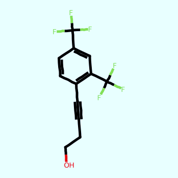 OCCC#Cc1ccc(C(F)(F)F)cc1C(F)(F)F